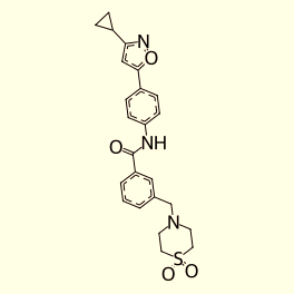 O=C(Nc1ccc(-c2cc(C3CC3)no2)cc1)c1cccc(CN2CCS(=O)(=O)CC2)c1